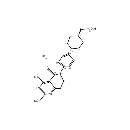 COc1nc(N)c2c(n1)CCN(c1ccc([C@H]3CC[C@H](CC(=O)O)CC3)cc1)C2=O.Cl